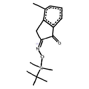 Cc1cccc2c1C/C(=N/O[Si](C)(C)C(C)(C)C)C2=O